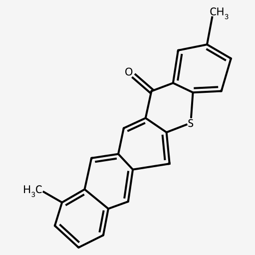 Cc1ccc2sc3cc4cc5cccc(C)c5cc4cc3c(=O)c2c1